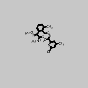 CNC(=O)/C(=N/OC)c1cccc(C)c1CO/N=C(\C)c1cc(C(F)(F)F)cc(Cl)n1